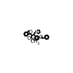 CNC(=O)C(c1occ2ccccc12)C(CN1CCCC1)c1cccc(OCc2ccccc2)c1